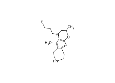 Cc1c2c(cc3c1N(CCCF)CC(C)O3)CCNCC2